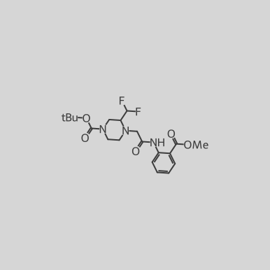 COC(=O)c1ccccc1NC(=O)CN1CCN(C(=O)OC(C)(C)C)CC1C(F)F